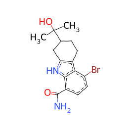 CC(C)(O)C1CCc2c([nH]c3c(C(N)=O)ccc(Br)c23)C1